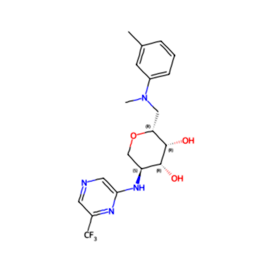 Cc1cccc(N(C)C[C@H]2OC[C@H](Nc3cncc(C(F)(F)F)n3)[C@@H](O)[C@H]2O)c1